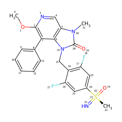 COc1ncc2c(c1-c1ccccc1)n(Cc1c(F)cc([S@@](C)(=N)=O)cc1F)c(=O)n2C